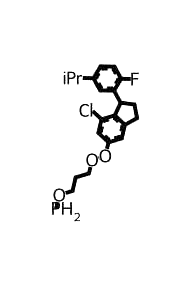 CC(C)c1ccc(F)c(C2CCc3cc(OOCCCOP)cc(Cl)c32)c1